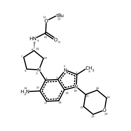 Cc1nc2c(N3CC[C@H](NC(=O)OC(C)(C)C)C3)c(N)ccc2n1C1CCOCC1